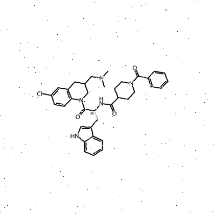 CN(C)CC1Cc2cc(Cl)ccc2N(C(=O)[C@@H](Cc2c[nH]c3ccccc23)NC(=O)C2CCN(C(=O)c3ccccc3)CC2)C1